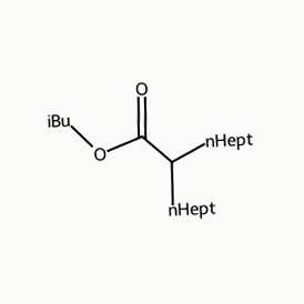 CCCCCCCC(CCCCCCC)C(=O)OC(C)CC